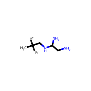 CC(C)C(C)(CNC(N)CN)C(C)C